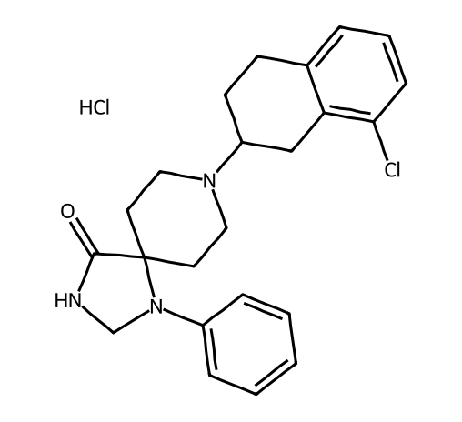 Cl.O=C1NCN(c2ccccc2)C12CCN(C1CCc3cccc(Cl)c3C1)CC2